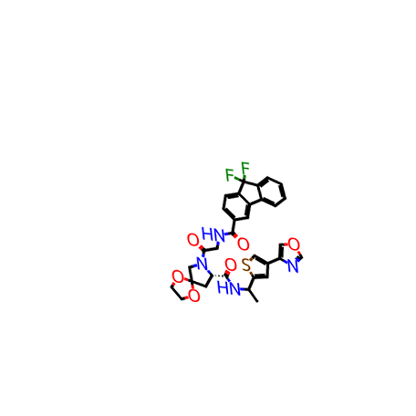 CC(NC(=O)[C@@H]1CC2(CN1C(=O)CNC(=O)c1ccc3c(c1)-c1ccccc1C3(F)F)OCCO2)c1cc(-c2cocn2)cs1